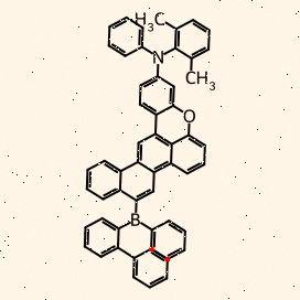 Cc1cccc(C)c1N(c1ccccc1)c1ccc2c(c1)Oc1cccc3c1c-2cc1c2ccccc2c(B(c2ccccc2)c2ccccc2-c2ccccc2)cc31